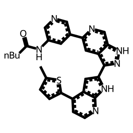 CCCCC(=O)Nc1cncc(-c2cc3c(-c4cc5c(-c6ccc(C)s6)ccnc5[nH]4)n[nH]c3cn2)c1